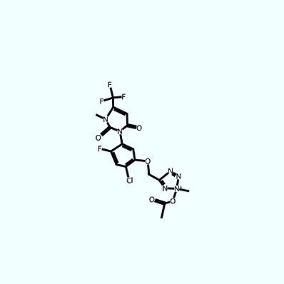 CC(=O)O[N+]1(C)N=NC(COc2cc(-n3c(=O)cc(C(F)(F)F)n(C)c3=O)c(F)cc2Cl)=N1